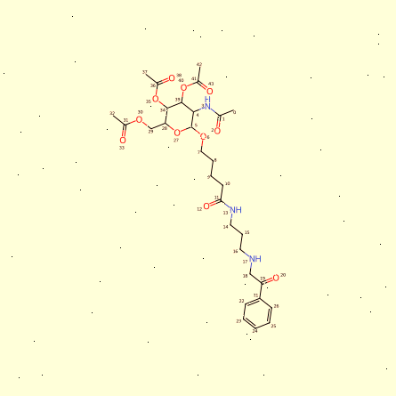 CC(=O)NC1C(OCCCCC(=O)NCCCNCC(=O)c2ccccc2)OC(COC(C)=O)C(OC(C)=O)C1OC(C)=O